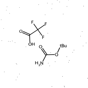 CC(C)(C)OC(N)=O.O=C(O)C(F)(F)F